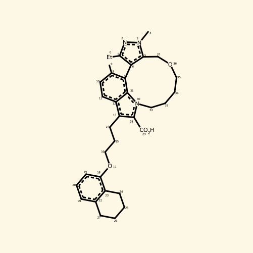 CCc1nn(C)c2c1-c1c(C)ccc3c(CCCOc4cccc5c4CCCC5)c(C(=O)O)n(c13)CCCCOC2